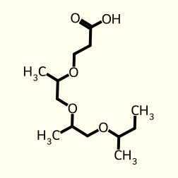 CCC(C)OCC(C)OCC(C)OCCC(=O)O